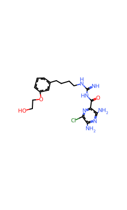 N=C(NCCCCc1cccc(OCCO)c1)NC(=O)c1nc(Cl)c(N)nc1N